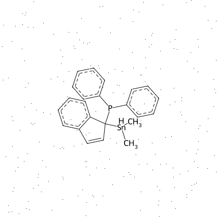 [CH3][SnH]([CH3])[C]1(P(c2ccccc2)c2ccccc2)C=Cc2ccccc21